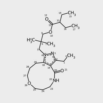 CCc1nn(CC(C)(C)COC(=O)C(CC)CC)c2c1C(=O)NCCCOCCC2